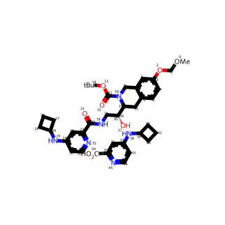 COCOc1ccc2c(c1)CN(C(=O)OC(C)(C)C)C([C@H](O)CNC(=O)c1cc(NC3CCC3)ccn1)C2.O=C(O)c1cc(NC2CCC2)ccn1